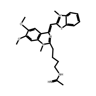 COc1cc2c(cc1OC)N(C)C(CCCCNC(C)=N)=NC2=Cc1sc2ccccc2[n+]1C